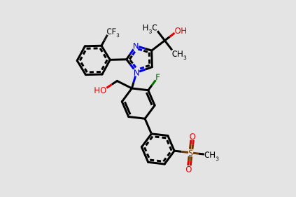 CC(C)(O)c1cn(C2(CO)C=CC(c3cccc(S(C)(=O)=O)c3)C=C2F)c(-c2ccccc2C(F)(F)F)n1